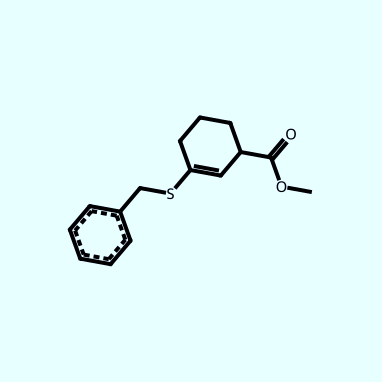 COC(=O)C1C=C(SCc2ccccc2)CCC1